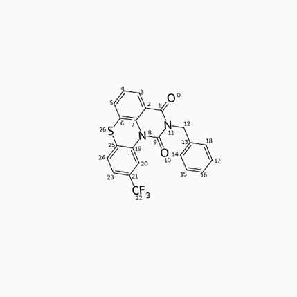 O=c1c2cccc3c2n(c(=O)n1Cc1ccccc1)-c1cc(C(F)(F)F)ccc1S3